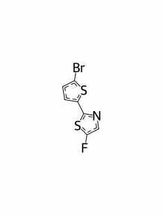 Fc1cnc(-c2ccc(Br)s2)s1